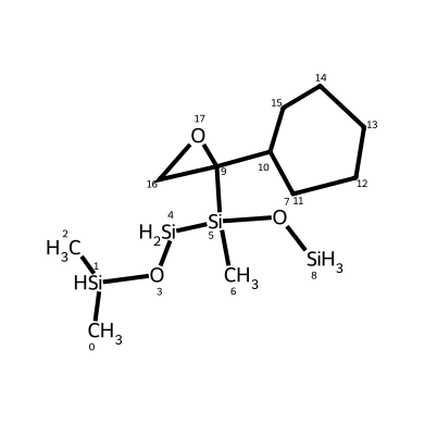 C[SiH](C)O[SiH2][Si](C)(O[SiH3])C1(C2CCCCC2)CO1